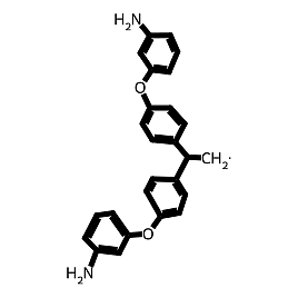 [CH2]C(c1ccc(Oc2cccc(N)c2)cc1)c1ccc(Oc2cccc(N)c2)cc1